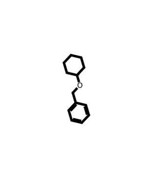 c1ccc(CO[C]2CCCCC2)cc1